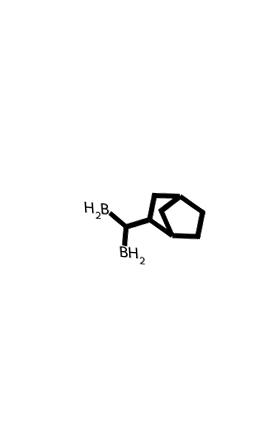 BC(B)C1CC2CCC1C2